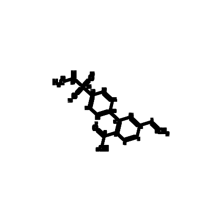 C=Cc1ccc(C(=O)O)c(-c2ccc(S(=O)(=O)NC)cc2)c1